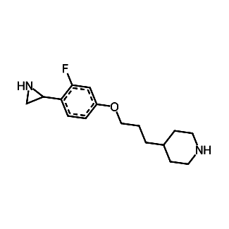 Fc1cc(OCCCC2CCNCC2)ccc1C1CN1